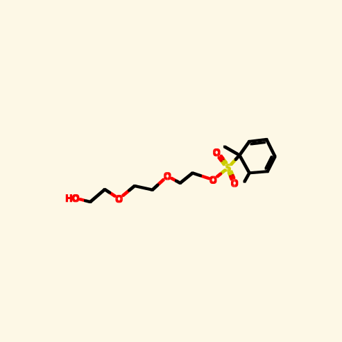 CC1C=CC=CC1(C)S(=O)(=O)OCCOCCOCCO